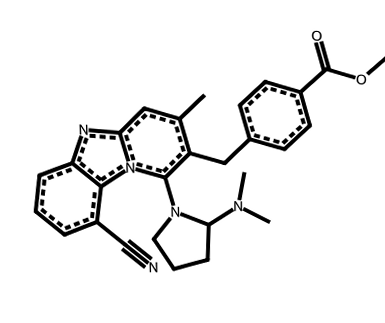 COC(=O)c1ccc(Cc2c(C)cc3nc4cccc(C#N)c4n3c2N2CCCC2N(C)C)cc1